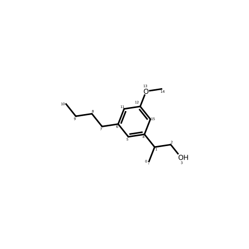 [CH2]C(CO)c1cc(CCCC)cc(OC)c1